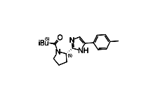 CC[C@H](C)C(=O)N1CCC[C@H]1c1ncc(-c2ccc(C)cc2)[nH]1